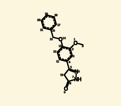 COc1cc(C2=NNC(=O)C2)ccc1OCc1ccccc1